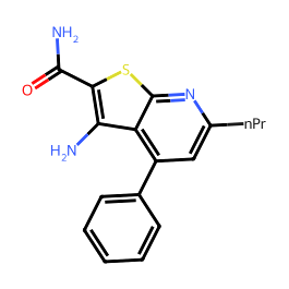 CCCc1cc(-c2ccccc2)c2c(N)c(C(N)=O)sc2n1